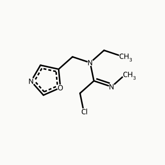 CCN(Cc1cnco1)/C(CCl)=N\C